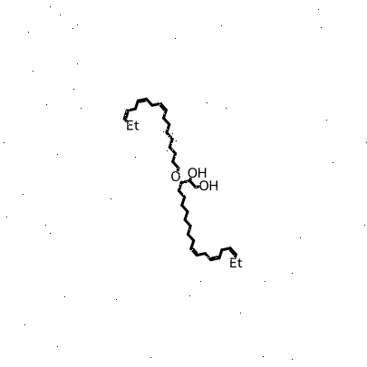 CC/C=C\C/C=C\C/C=C\CCCCCCCCOC(CCCCCCCC/C=C\C/C=C\C/C=C\CC)C(O)CO